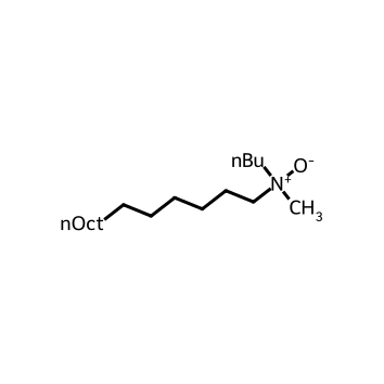 CCCCCCCCCCCCCC[N+](C)([O-])CCCC